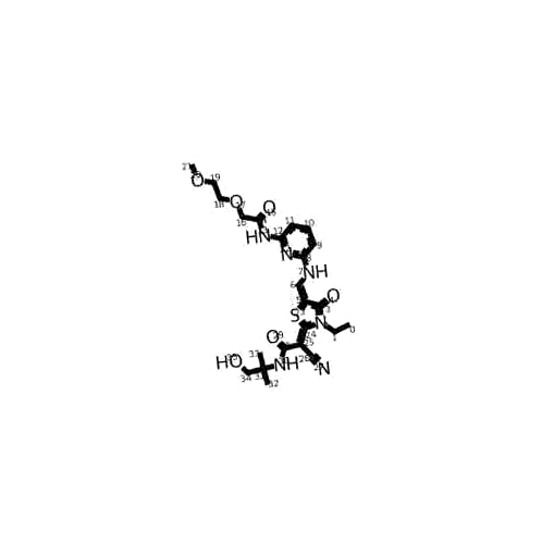 CCn1c(=O)c(=CNc2cccc(NC(=O)COCCOC)n2)s/c1=C(/C#N)C(=O)NC(C)(C)CO